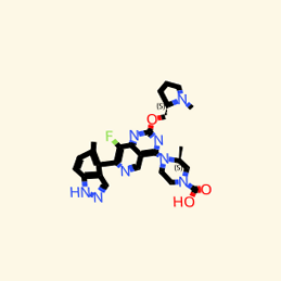 Cc1ccc2[nH]ncc2c1-c1ncc2c(N3CCN(C(=O)O)C[C@@H]3C)nc(OC[C@@H]3CCCN3C)nc2c1F